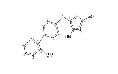 CCCCc1nc(CCC)nn1Cc1ccc(-c2cccnc2C(=O)O)cc1